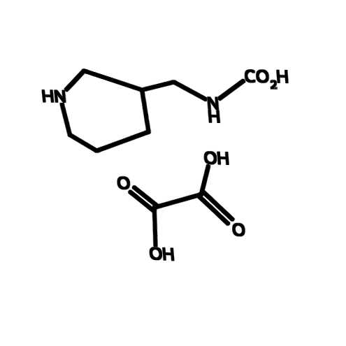 O=C(O)C(=O)O.O=C(O)NCC1CCCNC1